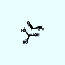 NC=O.OB(O)O